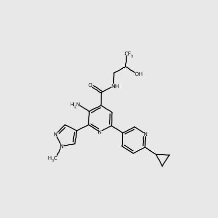 Cn1cc(-c2nc(-c3ccc(C4CC4)nc3)cc(C(=O)NCC(O)C(F)(F)F)c2N)cn1